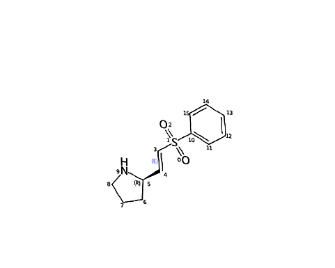 O=S(=O)(/C=C/[C@H]1CCCN1)c1ccccc1